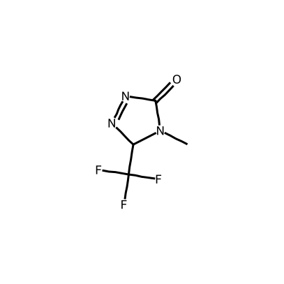 CN1C(=O)N=NC1C(F)(F)F